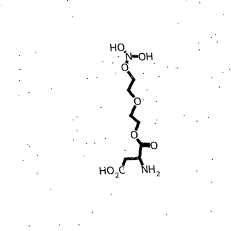 NC(CC(=O)O)C(=O)OCCOCCON(O)O